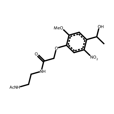 COc1cc(C(C)O)c([N+](=O)[O-])cc1OCC(=O)NCCNC(C)=O